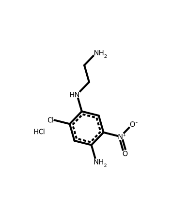 Cl.NCCNc1cc([N+](=O)[O-])c(N)cc1Cl